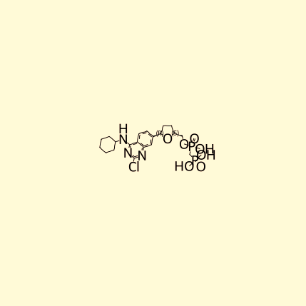 O=P(O)(O)CP(=O)(O)OC[C@@H]1CC[C@H](c2ccc3c(NC4CCCCC4)nc(Cl)nc3c2)O1